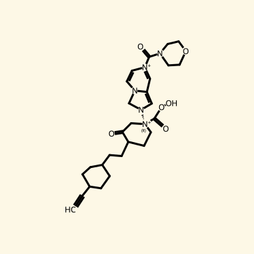 C#CC1CCC(CCC2CC[N@@+](C(=O)OO)(N3C=C4C=[N+](C(=O)N5CCOCC5)C=CN4C3)CC2=O)CC1